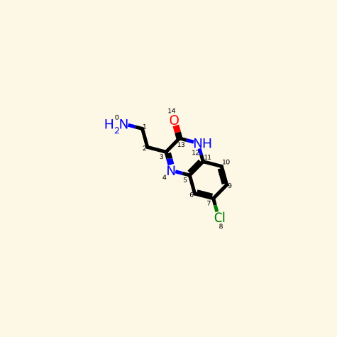 NCCc1nc2cc(Cl)ccc2[nH]c1=O